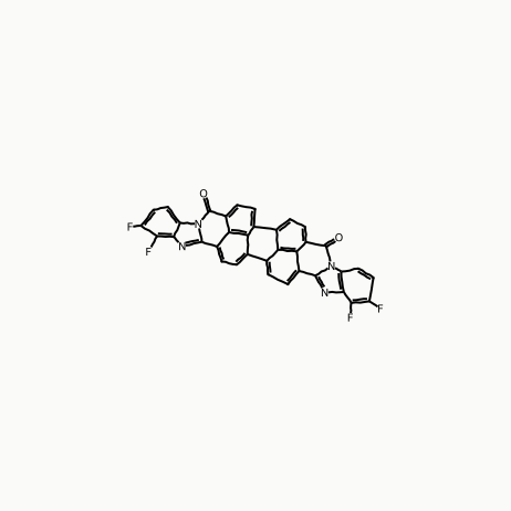 O=c1c2ccc3c4ccc5c(=O)n6c7ccc(F)c(F)c7nc6c6ccc(c7ccc(c2c37)c2nc3c(F)c(F)ccc3n12)c4c56